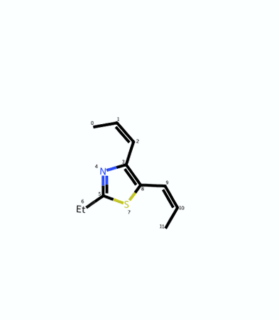 C/C=C\c1nc(CC)sc1/C=C\C